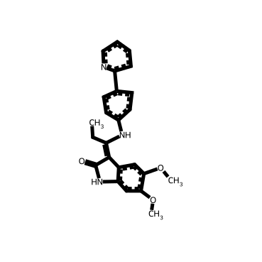 CCC(Nc1ccc(-c2ccccn2)cc1)=C1C(=O)Nc2cc(OC)c(OC)cc21